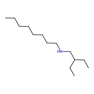 CCCCCCCCNC[C](CC)CC